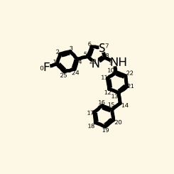 Fc1ccc(-c2csc(Nc3ccc(Cc4ccccc4)cc3)n2)cc1